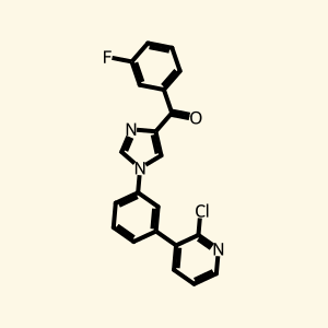 O=C(c1cccc(F)c1)c1cn(-c2cccc(-c3cccnc3Cl)c2)cn1